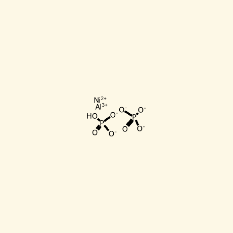 O=P([O-])([O-])O.O=P([O-])([O-])[O-].[Al+3].[Ni+2]